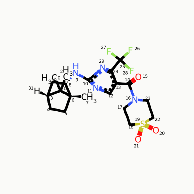 CC1(C)[C@@H]2CC[C@@]1(C)[C@@H](Nc1ncc(C(=O)N3CCS(=O)(=O)CC3)c(C(F)(F)F)n1)C2